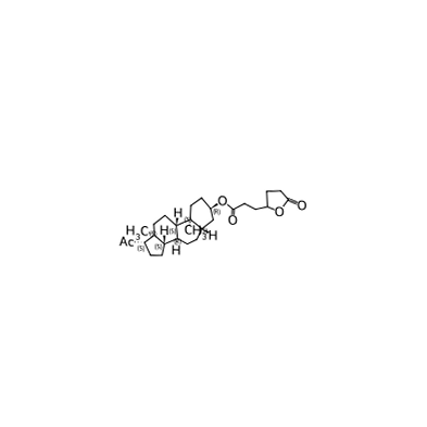 CC(=O)[C@H]1CC[C@H]2[C@@H]3CC[C@H]4C[C@H](OC(=O)CCC5CCC(=O)O5)CC[C@]4(C)[C@H]3CC[C@]12C